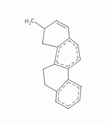 [CH2]C1C=Cc2ccc3c(c2C1)CCc1ccccc1-3